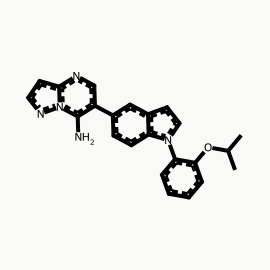 CC(C)Oc1ccccc1-n1ccc2cc(-c3cnc4ccnn4c3N)ccc21